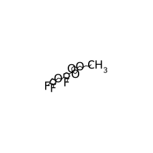 CCCCOC1COC(c2ccc(COc3ccc(F)c(F)c3)c(F)c2)OC1